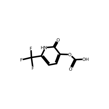 O=C(O)Oc1ccc(C(F)(F)F)[nH]c1=O